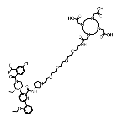 CCOc1ccccc1-c1ccc(N2CCN(C(=O)c3ccc(Cl)cc3C(F)F)C[C@H]2CC)c(C(=O)N[C@@H]2CCN(CCOCCOCCOCCOCCNC(=O)CN3CCN(CC(=O)O)CCN(CC(=O)O)CCN(CC(=O)O)CC3)C2)n1